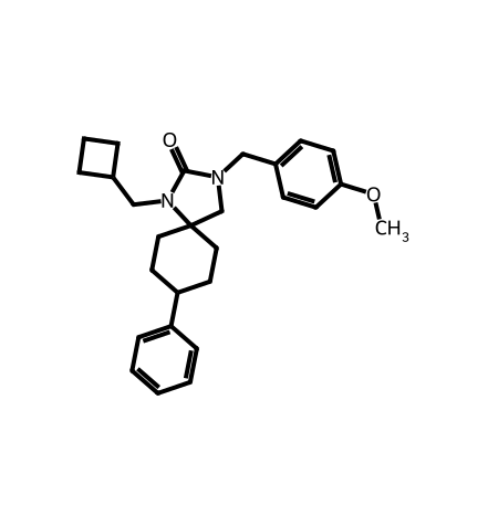 COc1ccc(CN2CC3(CCC(c4ccccc4)CC3)N(CC3CCC3)C2=O)cc1